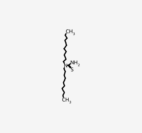 CCCCCCCCCCN(CCCCCCCCCC)C(N)=S